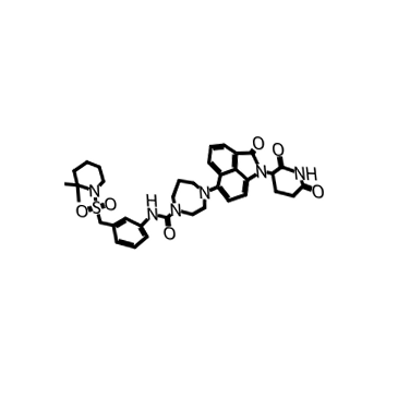 CC1(C)CCCCN1S(=O)(=O)Cc1cccc(NC(=O)N2CCCN(c3ccc4c5c(cccc35)C(=O)N4C3CCC(=O)NC3=O)CC2)c1